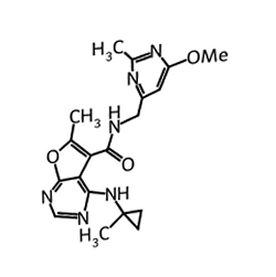 COc1cc(CNC(=O)c2c(C)oc3ncnc(NC4(C)CC4)c23)nc(C)n1